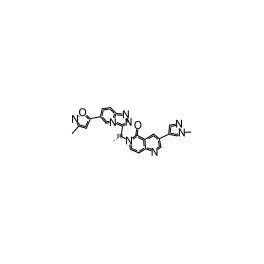 Cc1cc(-c2ccc3nnc([C@@H](C)n4ccc5ncc(-c6cnn(C)c6)cc5c4=O)n3c2)on1